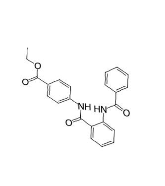 CCOC(=O)c1ccc(NC(=O)c2ccccc2NC(=O)c2ccccc2)cc1